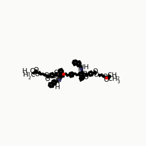 C=C(C)C(=O)OCCCCOC(=O)C1CCC(C(=O)Oc2c(/C=N/Nc3ccc4ccccc4c3)cc(CCc3ccc(CCc4cc(/C=N/Nc5ccc6ccccc6c5)c(OC(=O)C5CCC(C(=O)OCCCCOC(=O)C(=C)C)CC5)c5ccccc45)cc3)c3ccccc23)CC1